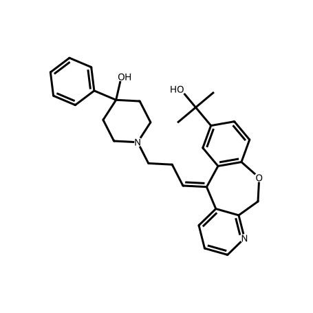 CC(C)(O)c1ccc2c(c1)C(=CCCN1CCC(O)(c3ccccc3)CC1)c1cccnc1CO2